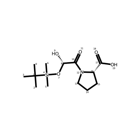 CC(C)(C)[Si](C)(C)O[C@H](O)C(=O)N1CCC[C@H]1C(=O)O